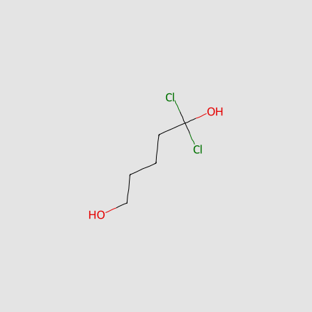 OCCCCC(O)(Cl)Cl